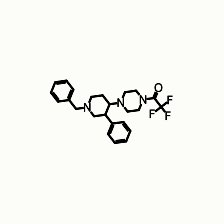 O=C(N1CCN(C2CCN(Cc3ccccc3)CC2c2ccccc2)CC1)C(F)(F)F